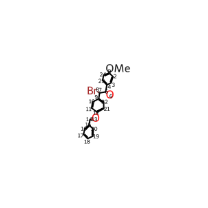 COc1ccc(C(=O)C(Br)c2ccc(OCc3ccccc3)cc2)cc1